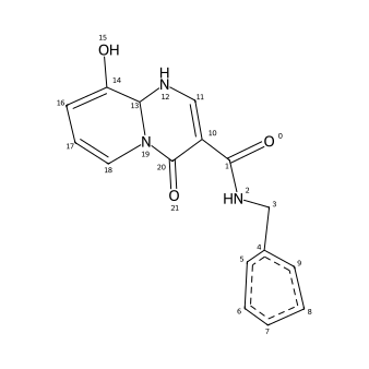 O=C(NCc1ccccc1)C1=CNC2C(O)=CC=CN2C1=O